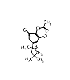 CC(=O)Oc1c(Cl)cc(C(C)(C)CC(C)(C)C)cc1Cl